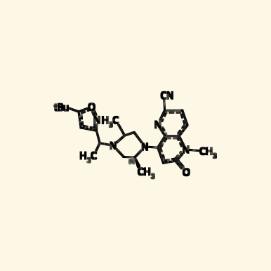 CC1CN(c2cc(=O)n(C)c3ccc(C#N)nc23)[C@@H](C)CN1C(C)c1cc(C(C)(C)C)on1